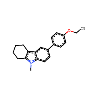 Cn1c2c(c3cc(-c4ccc(OCC#N)cc4)ccc31)CCCC2